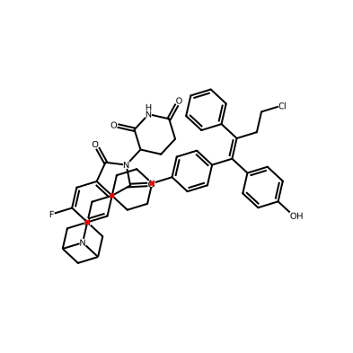 O=C1CCC(N2C(=O)c3cc(F)c(N4C5CC4CN(CC4CCN(c6ccc(C(=C(CCCl)c7ccccc7)c7ccc(O)cc7)cc6)CC4)C5)cc3C2=O)C(=O)N1